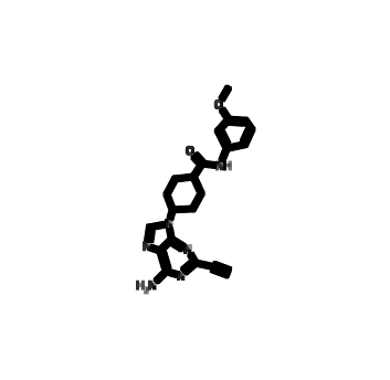 C#Cc1nc(N)c2ncn(C3CCC(C(=O)Nc4cccc(OC)c4)CC3)c2n1